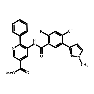 COC(=O)c1cnc(-c2ccccc2)c(NC(=O)c2cc(-c3ccn(C)n3)c(C(F)(F)F)cc2F)c1